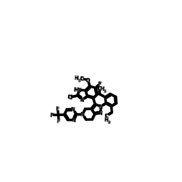 CCc1cccc(CC)c1-n1nc2c(c1-c1cc(F)c(OC)c3[nH]c(Cl)nc13)CN(c1ncc(C(F)(F)F)cn1)CC2